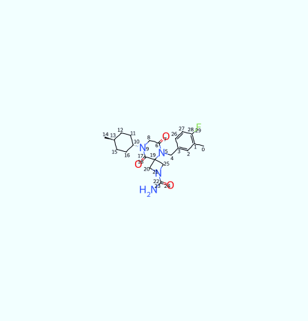 Cc1cc(CN2C(=O)CN([C@H]3CC[C@H](C)CC3)C(=O)C23CN(C(N)=O)C3)ccc1F